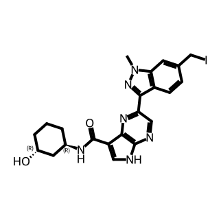 Cn1nc(-c2cnc3[nH]cc(C(=O)N[C@@H]4CCC[C@@H](O)C4)c3n2)c2ccc(CI)cc21